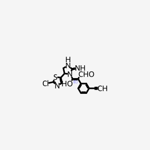 C#Cc1cccc(/C(C=O)=C(\O)N2C(=N)NCC2c2cnc(Cl)s2)c1